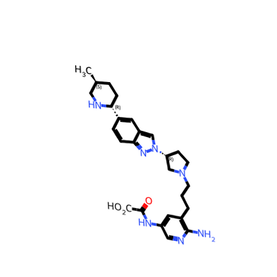 C[C@H]1CC[C@H](c2ccc3nn([C@@H]4CCN(CCCc5cc(NC(=O)C(=O)O)cnc5N)C4)cc3c2)NC1